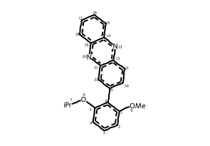 COc1cccc(OC(C)C)c1-c1ccc2nc3ccccc3nc2c1